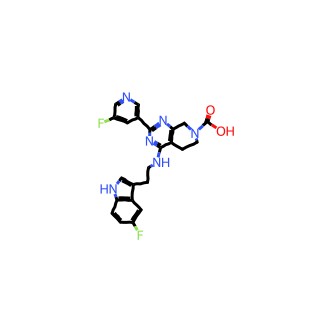 O=C(O)N1CCc2c(nc(-c3cncc(F)c3)nc2NCCc2c[nH]c3ccc(F)cc23)C1